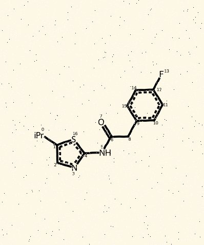 CC(C)c1cnc(NC(=O)Cc2ccc(F)cc2)s1